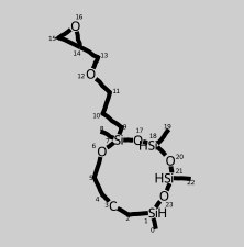 C[SiH]1CCCCO[Si](C)(CCCOCC2CO2)O[SiH](C)O[SiH](C)O1